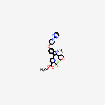 CCOC(=O)c1ccc(-c2c(C3CCOCC3)n(C)c3cc(OC4CCN(c5ncccn5)CC4)ccc23)nc1C(F)(F)F